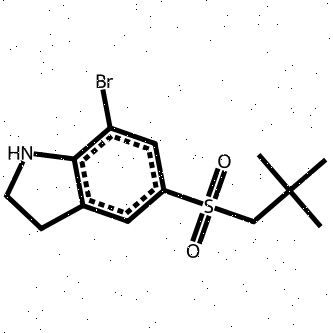 CC(C)(C)CS(=O)(=O)c1cc(Br)c2c(c1)CCN2